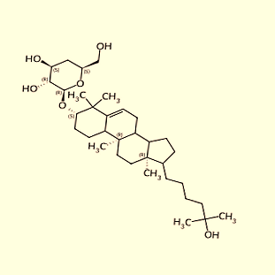 CC(C)(O)CCCCC1CCC2C3CC=C4C(CC[C@H](O[C@@H]5O[C@H](CO)C[C@H](O)[C@H]5O)C4(C)C)[C@]3(C)CC[C@]12C